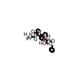 CC(C)C(N)C(=O)N1C(=O)C2(CCCN2C(=O)C2CCCN2C(=O)C(NC(=O)OCc2ccccc2)C(C)O)C1c1ccccc1